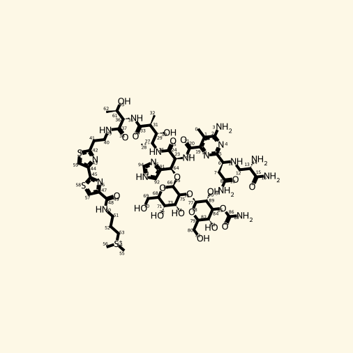 Cc1c(N)nc([C@H](CC(N)=O)NC[C@H](N)C(N)=O)nc1C(=O)N[C@H](C(=O)N[C@H](C)[C@@H](O)[C@H](C)C(=O)N[C@H](C(=O)NCCc1nc(-c2nc(C(=O)NCCC[S+](C)C)cs2)cs1)[C@@H](C)O)[C@@H](O[C@@H]1OC(CO)[C@@H](O)[C@@H](O)C1O[C@H]1OC(CO)[C@@H](O)C(OC(N)=O)[C@H]1O)c1c[nH]cn1